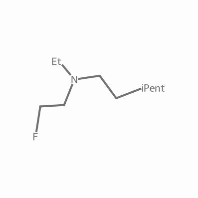 CCCC(C)CCN(CC)CCF